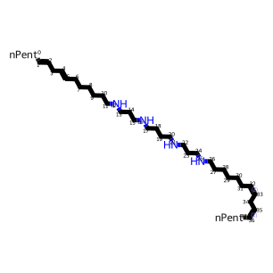 CCCCCC=CCC=CCCCCCCNCCCNCCCCNCCCNCCCCCC/C=C\C/C=C\CCCCC